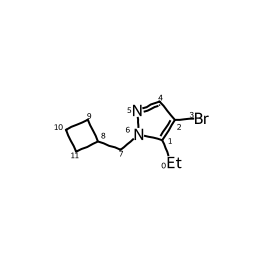 CCc1c(Br)[c]nn1CC1CCC1